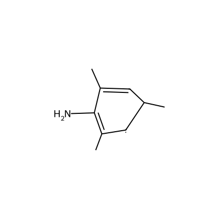 CC1=CC(C)[CH]C(C)=C1N